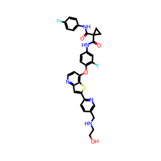 O=C(Nc1ccc(F)cc1)C1(C(=O)Nc2ccc(Oc3ccnc4cc(-c5ccc(CNCCO)cn5)sc34)c(F)c2)CC1